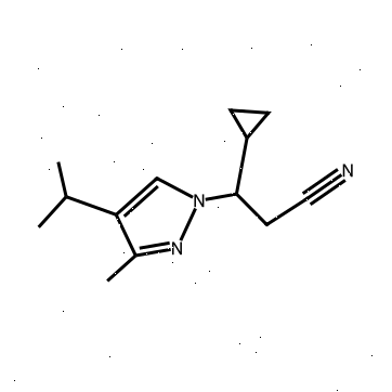 Cc1nn(C(CC#N)C2CC2)cc1C(C)C